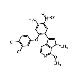 COc1nccc2c(-c3cc([N+](=O)[O-])c(C)cc3Oc3ccc(Cl)c(Cl)c3)cn(C)c12